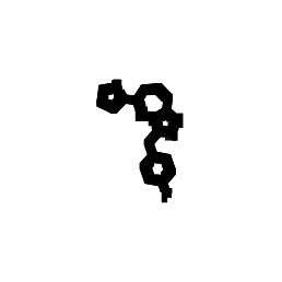 Fc1ccc(Cc2nnc3n2N=C(c2cccs2)C=C=C3)cc1